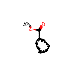 CCC(C)OC(=O)c1[c]cccc1